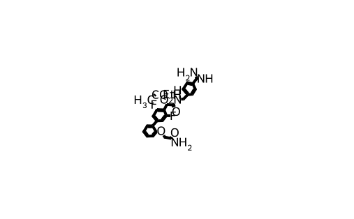 CC(=O)O.CCOC(C(=O)NCc1ccc(C(=N)N)cc1)c1c(F)cc(-c2ccccc2OCC(N)=O)cc1F